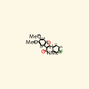 CNC(=O)c1c(-c2ccc(F)cc2)oc2cc(OC)c(OC)cc12